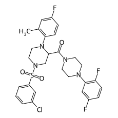 Cc1cc(F)ccc1N1CCN(S(=O)(=O)c2cccc(Cl)c2)CC1C(=O)N1CCN(c2cc(F)ccc2F)CC1